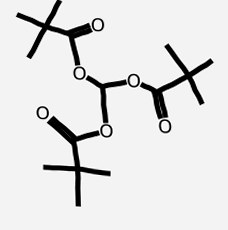 CC(C)(C)C(=O)OC(OC(=O)C(C)(C)C)OC(=O)C(C)(C)C